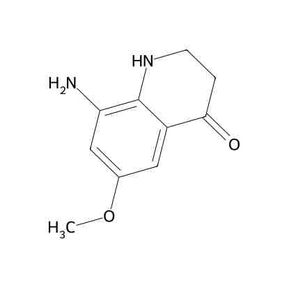 COc1cc(N)c2c(c1)C(=O)CCN2